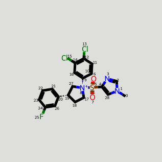 Cn1cnc(S(=O)(=O)[N@@+]2(c3ccc(Cl)c(Cl)c3)CC[C@H](c3cccc(F)c3)C2)c1